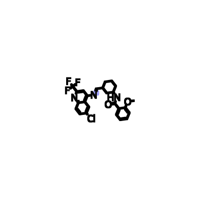 COc1ccccc1C(=O)NC1CCCC(/C=N/c2cc(C(F)(F)F)nc3ccc(Cl)cc23)C1